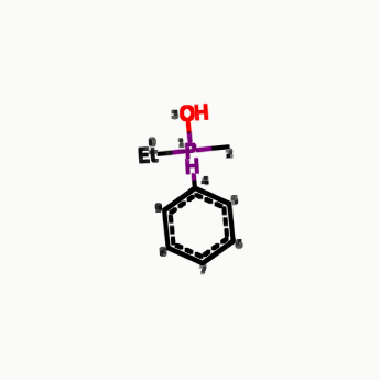 CC[PH](C)(O)c1ccccc1